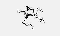 C=CN1CCCC1=O.[SiH3]O[SiH3]